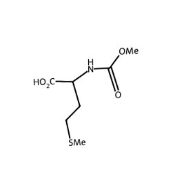 COC(=O)NC(CCSC)C(=O)O